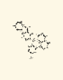 Brc1ccc2c(c1)-c1cccc3cccc(c13)N2c1ccc2c(c1)sc1ccccc12